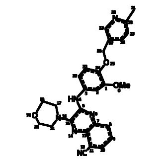 COc1cc(Nc2nc3cccc(C#N)c3nc2N2CCOCC2)ccc1OCc1ccc(C)nc1